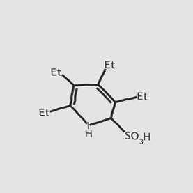 CCC1=C(CC)C(CC)=C(CC)C(S(=O)(=O)O)[IH]1